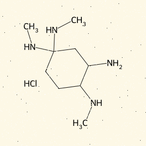 CNC1CCC(NC)(NC)CC1N.Cl